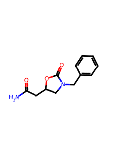 NC(=O)CC1CN(Cc2ccccc2)C(=O)O1